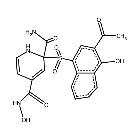 CC(=O)c1cc(S(=O)(=O)C2(C(N)=O)C=C(C(=O)NO)C=CN2)c2ccccc2c1O